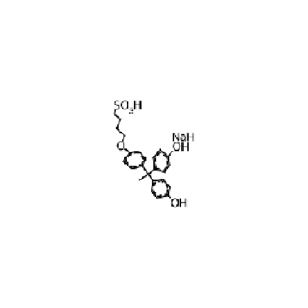 CC(c1ccc(O)cc1)(c1ccc(O)cc1)c1ccc(OCCCCS(=O)(=O)O)cc1.[NaH]